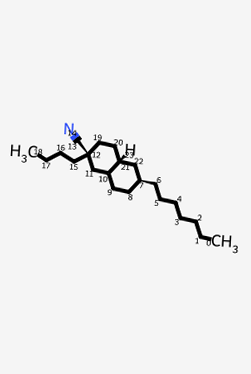 CCCCCCC[C@H]1CCC2C[C@](C#N)(CCCC)CC[C@@H]2C1